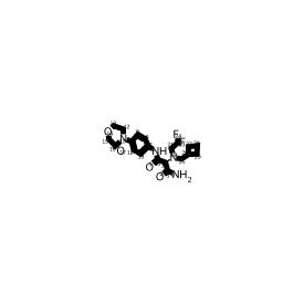 NC(=O)[C@H](C(=O)Nc1ccc(N2CCOCC2=O)cc1)N(CC(F)F)CC1CCC1